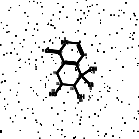 CCC1(O)c2cc[nH]c(=O)c2CC(O)C1O